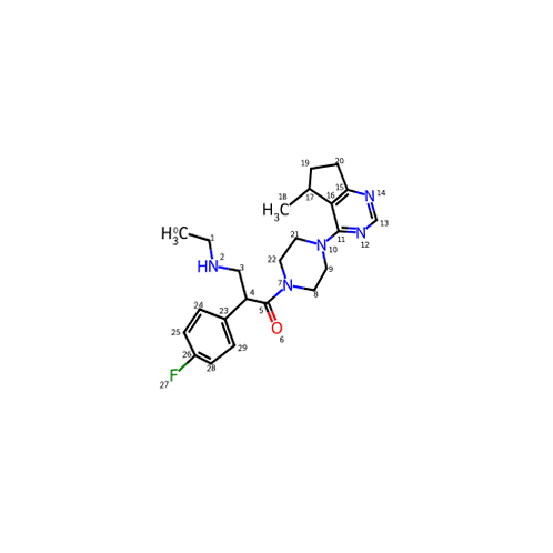 CCNCC(C(=O)N1CCN(c2ncnc3c2C(C)CC3)CC1)c1ccc(F)cc1